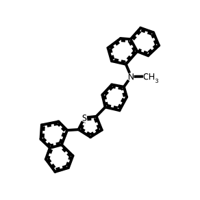 CN(c1ccc(-c2ccc(-c3cccc4ccccc34)s2)cc1)c1cccc2ccccc12